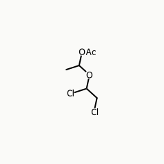 CC(=O)OC(C)OC(Cl)CCl